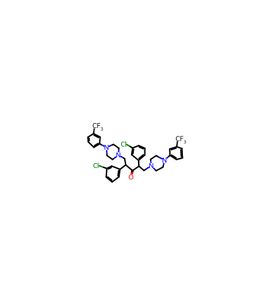 O=C(C(CN1CCN(c2cccc(C(F)(F)F)c2)CC1)c1cccc(Cl)c1)C(CN1CCN(c2cccc(C(F)(F)F)c2)CC1)c1cccc(Cl)c1